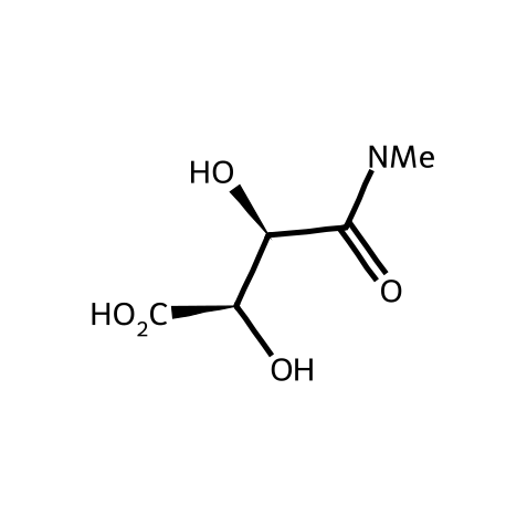 CNC(=O)[C@H](O)[C@@H](O)C(=O)O